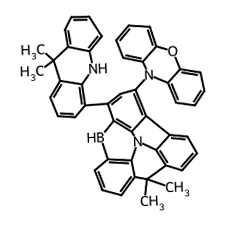 CC1(C)c2ccccc2Nc2c(-c3cc(N4c5ccccc5Oc5ccccc54)c4c5cccc6c5n5c4c3Bc3cccc(c3-5)C6(C)C)cccc21